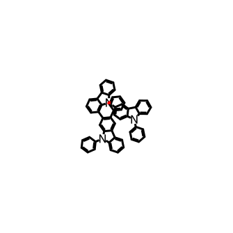 c1ccc(-c2cc3c4ccccc4n(-c4ccccc4)c3cc2-c2cccc3c4ccccc4n(-c4ccc5c(c4)c4ccccc4n5-c4ccccc4)c23)cc1